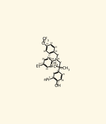 CCCc1cc(C(C)(C)CN(Cc2ccc(OC(F)(F)F)cc2)c2ncc(CC)cn2)ccc1O